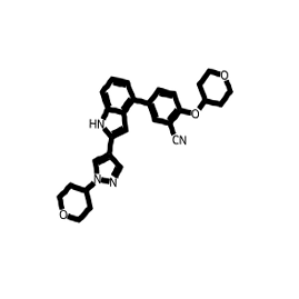 N#Cc1cc(-c2cccc3[nH]c(-c4cnn(C5CCOCC5)c4)cc23)ccc1OC1CCOCC1